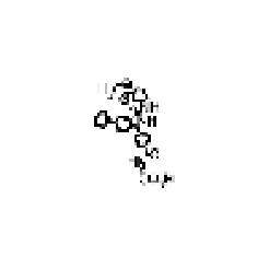 CS(=O)(=O)c1cccc(NC(=O)NC(c2ccc(C(=O)NCCC(=O)O)cc2)c2ccc(C3=CCCCC3)cc2)c1